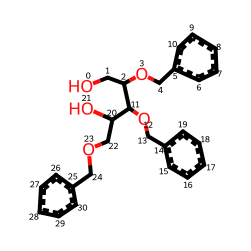 OCC(OCc1ccccc1)C(OCc1ccccc1)C(O)COCc1ccccc1